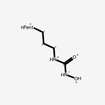 CCCCCCCCNC(=O)NO